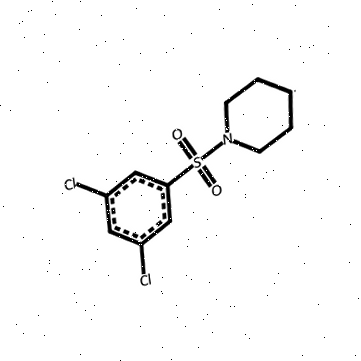 O=S(=O)(c1cc(Cl)cc(Cl)c1)N1CC[CH]CC1